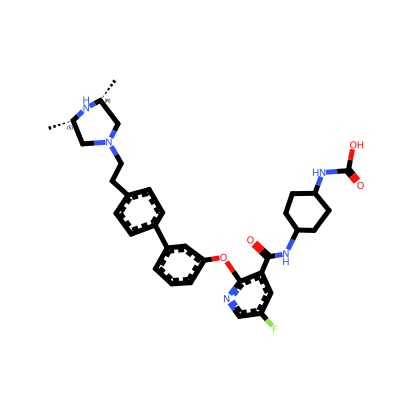 C[C@@H]1CN(CCc2ccc(-c3cccc(Oc4ncc(F)cc4C(=O)NC4CCC(NC(=O)O)CC4)c3)cc2)C[C@H](C)N1